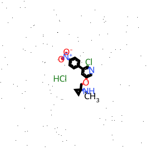 CNC1(COc2cnc(Cl)c(-c3ccc([N+](=O)[O-])cc3)c2)CC1.Cl